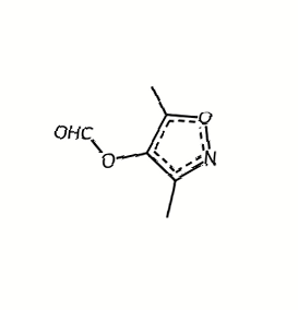 Cc1noc(C)c1OC=O